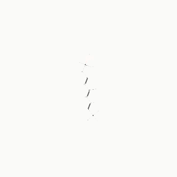 CC(/C=C/CC(C)(C)O)=C\C=C\C(C)(C)C